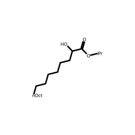 CCCCCCCCCCCCCCC(O)C(=O)OC(C)C